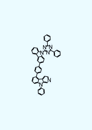 c1ccc(-c2nc(-c3ccccc3)nc(-n3c4ccccc4c4cc(-c5ccc(-c6cccc7c6c6ccncc6n7-c6ccccc6)cc5)ccc43)n2)cc1